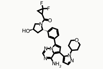 Nc1ncnn2c(-c3cccc([C@@H]4C[C@@H](O)CN4C(=O)C4CC4(F)F)c3)cc(-c3ccnn3C3CCOCC3)c12